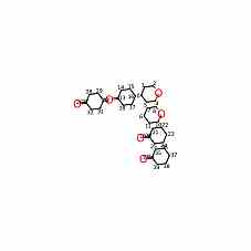 C1CCOCC1.C1CCOCC1.O=C1CCCCC1.O=C1CCCCC1.O=C1CCCCC1.O=C1CCCCC1